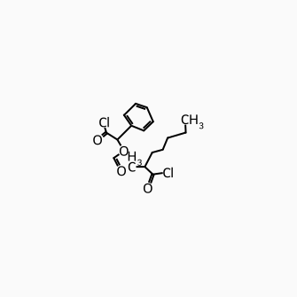 CCCCCC(C)C(=O)Cl.O=COC(C(=O)Cl)c1ccccc1